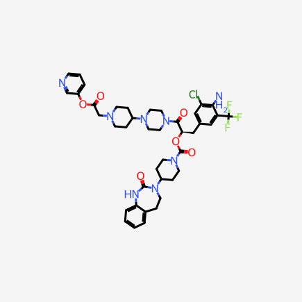 Nc1c(Cl)cc(C[C@@H](OC(=O)N2CCC(N3CCc4ccccc4NC3=O)CC2)C(=O)N2CCN(C3CCN(CC(=O)Oc4cccnc4)CC3)CC2)cc1C(F)(F)F